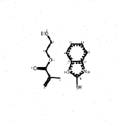 C=C(C)C(=O)OCCO.Sc1nc2ccccc2s1